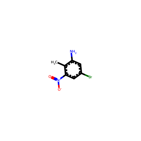 Cc1c(N)cc(Br)cc1[N+](=O)[O-]